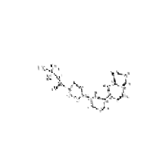 CC(C)(C)OC(=O)N1C=CN(c2nccc(-c3cnc4ccccc4c3)n2)C=C1